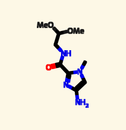 COC(CNC(=O)c1nc(N)cn1C)OC